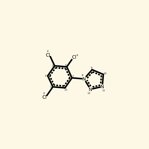 Clc1cc(Cl)c(Cl)c(-n2ccnn2)c1